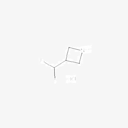 Cl.FC(F)C1CNC1